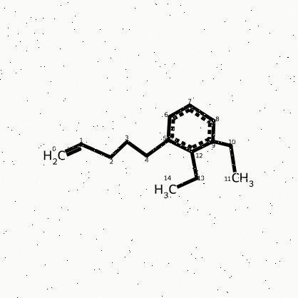 C=CCCCc1cccc(CC)c1CC